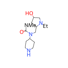 CCN1CC(O)CC1CN(C(=O)NC)C1CCNCC1